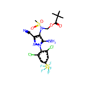 CC(C)(C)C(=O)OCN(c1c(C#N)nn(-c2c(Cl)cc(S(F)(F)(F)(F)F)cc2Cl)c1N)S(C)(=O)=O